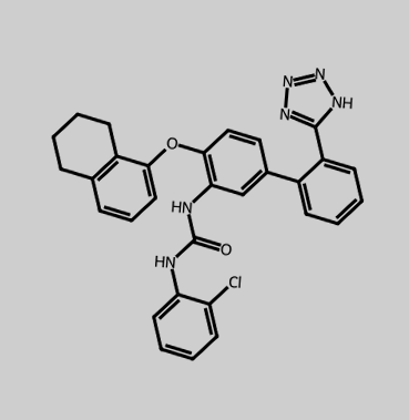 O=C(Nc1ccccc1Cl)Nc1cc(-c2ccccc2-c2nnn[nH]2)ccc1Oc1cccc2c1CCCC2